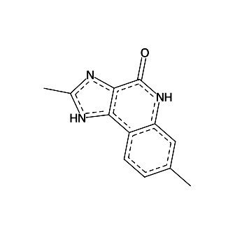 Cc1ccc2c(c1)[nH]c(=O)c1nc(C)[nH]c12